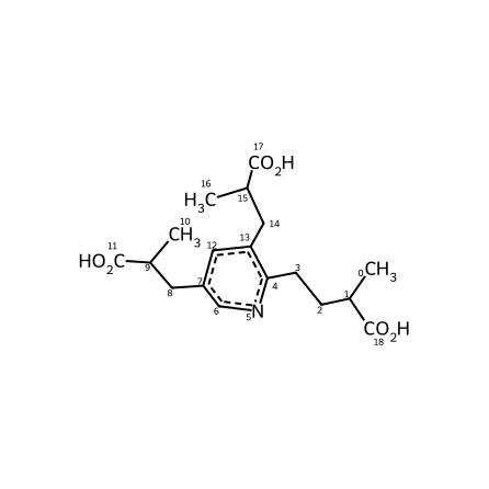 CC(CCc1ncc(CC(C)C(=O)O)cc1CC(C)C(=O)O)C(=O)O